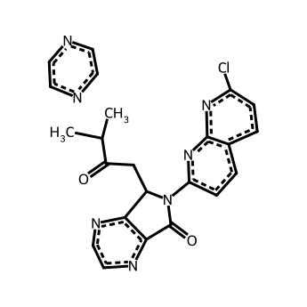 CC(C)C(=O)CC1c2nccnc2C(=O)N1c1ccc2ccc(Cl)nc2n1.c1cnccn1